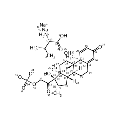 CC(C)[C@H](N)C(=O)O.C[C@H]1C[C@H]2[C@@H]3CCC4=CC(=O)C=C[C@]4(C)[C@@]3(F)[C@@H](O)C[C@]2(C)[C@@]1(O)C(=O)COP(=O)([O-])[O-].[Na+].[Na+]